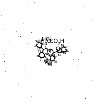 CC(=O)O.Cl.c1ccc(C(CN(CCc2cc3ccccc3o2)Cc2cccc3c2OCO3)c2ccccc2)cc1